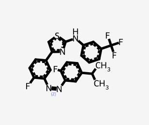 CC(C)c1ccc(F)c(/N=N\c2cc(-c3csc(Nc4cccc(C(F)(F)F)c4)n3)ccc2F)c1